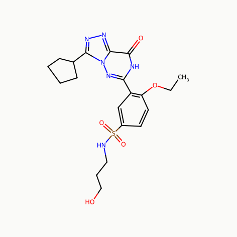 CCOc1ccc(S(=O)(=O)NCCCO)cc1-c1nn2c(C3CCCC3)nnc2c(=O)[nH]1